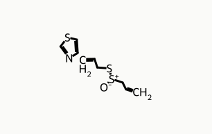 C=CCS[S+]([O-])CC=C.c1cscn1